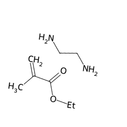 C=C(C)C(=O)OCC.NCCN